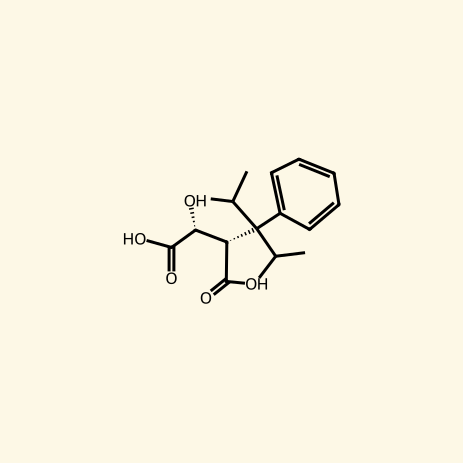 CC(C)C(c1ccccc1)(C(C)C)[C@H](C(=O)O)[C@@H](O)C(=O)O